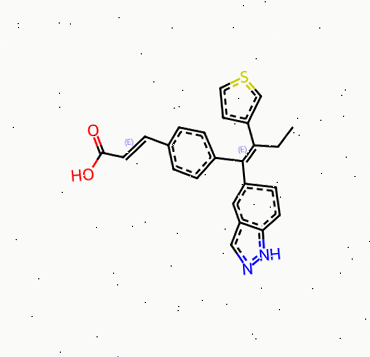 CC/C(=C(/c1ccc(/C=C/C(=O)O)cc1)c1ccc2[nH]ncc2c1)c1ccsc1